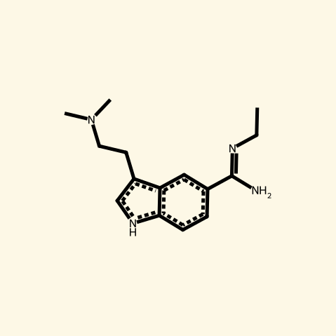 CCN=C(N)c1ccc2[nH]cc(CCN(C)C)c2c1